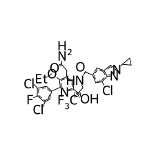 CCOc1c(CC(N)=O)cc([C@@](O)(CNC(=O)c2cc(Cl)c3nn(C4CC4)cc3c2)C(F)(F)F)nc1-c1cc(Cl)c(F)c(Cl)c1